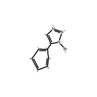 Brn1nncc1-c1ccccc1